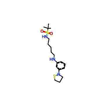 CC(C)(C)S(=O)(=O)NCCCCCNc1cccc(N2CCCS2)c1